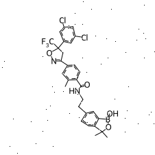 Cc1cc(C2=NOC(c3cc(Cl)cc(Cl)c3)(C(F)(F)F)C2)ccc1C(=O)NCCc1ccc2c(c1)B(O)OC2(C)C